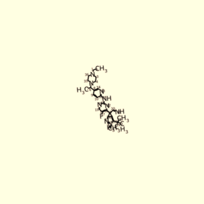 CCN1CCN(C(C)c2ccc(Nc3ncc(F)c(C4(C=N)c5nn(C)c(C(C)(C)C)c54)n3)nc2)CC1